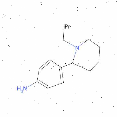 C[C](C)CN1CCCCC1c1ccc(N)cc1